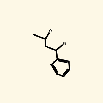 CCC(CC(C)[O])c1ccccc1